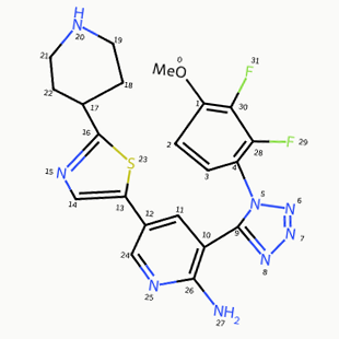 COc1ccc(-n2nnnc2-c2cc(-c3cnc(C4CCNCC4)s3)cnc2N)c(F)c1F